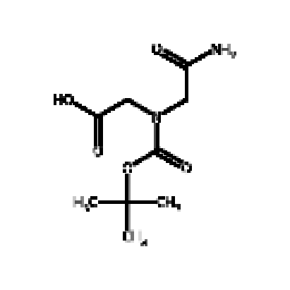 CC(C)(C)OC(=O)N(CC(N)=O)CC(=O)O